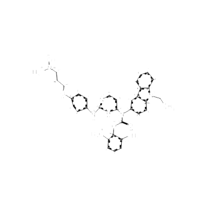 CCn1c2ccccc2c2cc(N(C(=O)Oc3c(C)cccc3C)c3ccnc(Nc4ccc(OCCCN(C)C)cc4)n3)ccc21